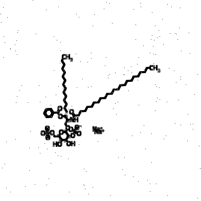 CCCCCCCCCCCCCCCCCCCCCCCC(=O)N[C@@H](CO[C@@H]1O[C@H](COS(=O)(=O)[O-])[C@H](O)[C@H](O)[C@H]1OS(=O)(=O)[O-])[C@@H](CCCCCCCCCCCCCCC)OC(=O)c1ccccc1.[Na+].[Na+]